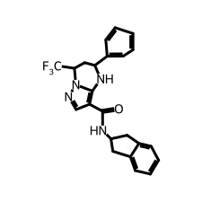 O=C(NC1Cc2ccccc2C1)c1cnn2c1NC(c1ccccc1)CC2C(F)(F)F